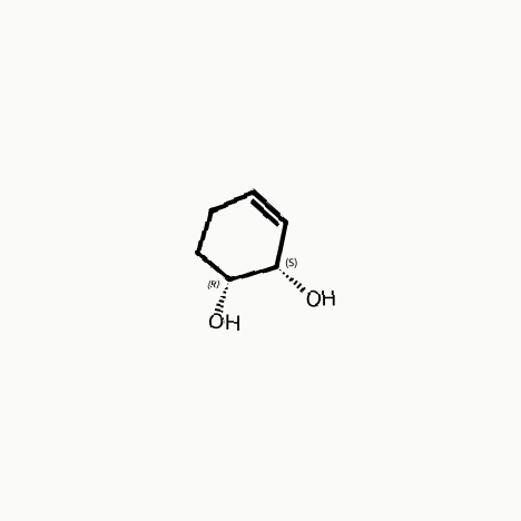 O[C@@H]1CCC=C[C@@H]1O